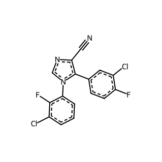 N#Cc1ncn(-c2cccc(Cl)c2F)c1-c1ccc(F)c(Cl)c1